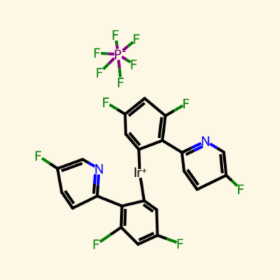 F[P-](F)(F)(F)(F)F.Fc1ccc(-c2c(F)cc(F)c[c]2[Ir+][c]2cc(F)cc(F)c2-c2ccc(F)cn2)nc1